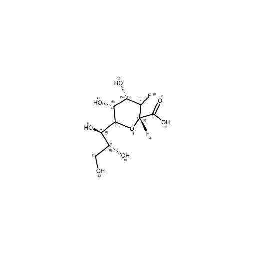 O=C(O)[C@]1(F)OC([C@H](O)[C@H](O)CO)[C@H](O)[C@H](O)C1F